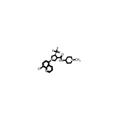 CN1CCC(NC(=O)C2CN(c3ccc(Cl)c4ncccc34)C[C@H]2C(F)(F)F)CC1